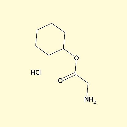 Cl.NCC(=O)OC1CCCCC1